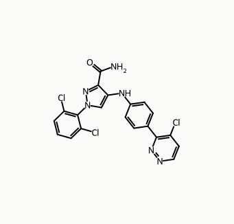 NC(=O)c1nn(-c2c(Cl)cccc2Cl)cc1Nc1ccc(-c2nnccc2Cl)cc1